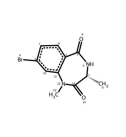 C[C@H]1NC(=O)c2ccc(Br)cc2N(C)C1=O